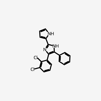 Clc1cccc(-c2nc(-c3ccc[nH]3)[nH]c2-c2ccccc2)c1Cl